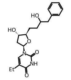 CCc1cn([C@H]2C[C@H](O)[C@@H](CCC(O)Cc3ccccc3)O2)c(=O)[nH]c1=O